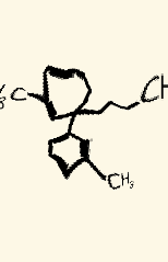 CCCCC1(c2cccc(C)c2)C=C(C)C=CC1